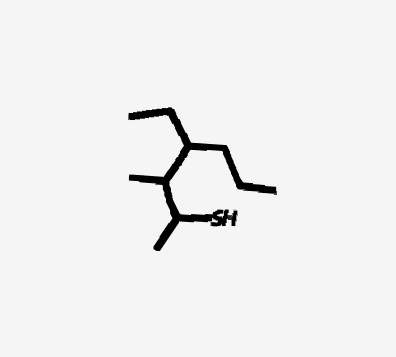 CCCC(CC)C(C)C(C)S